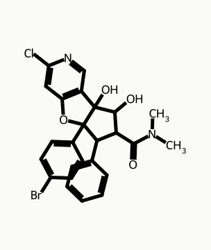 CN(C)C(=O)C1C(O)C2(O)c3cnc(Cl)cc3OC2(c2ccc(Br)cc2)C1c1ccccc1